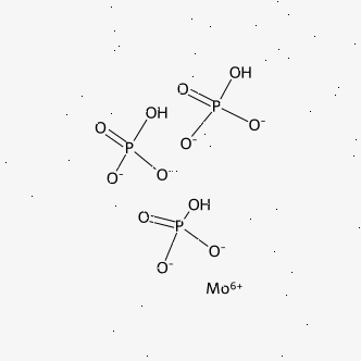 O=P([O-])([O-])O.O=P([O-])([O-])O.O=P([O-])([O-])O.[Mo+6]